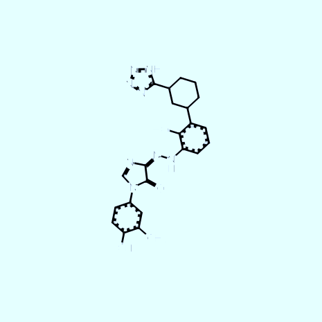 Cc1ccc(N2C=NC(=NNc3cccc(C4CCCC(c5nnn[nH]5)C4)c3O)C2=O)cc1C